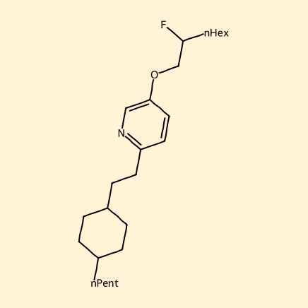 CCCCCCC(F)COc1ccc(CCC2CCC(CCCCC)CC2)nc1